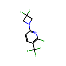 FC1(F)CN(c2ccc(C(F)(F)F)c(Cl)n2)C1